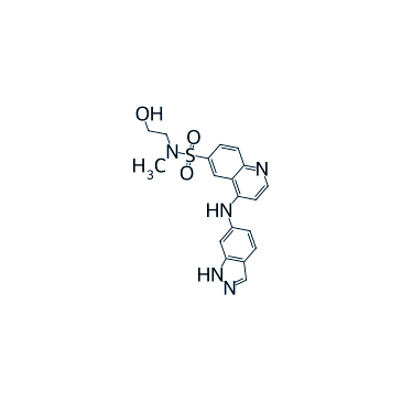 CN(CCO)S(=O)(=O)c1ccc2nccc(Nc3ccc4cn[nH]c4c3)c2c1